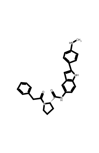 CNc1ccc(-c2cc3cc(NC(=O)[C@@H]4CCCN4C(=O)Cc4ccccc4)ccc3[nH]2)cc1